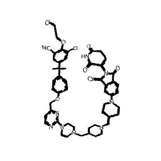 CC(C)(c1ccc(OCc2ccnc(N3CCN(CC4CCN(CC5CCN(c6ccc7c(c6)C(=O)N(C6CCC(=O)NC6=O)C7=O)CC5)CC4)CC3)n2)cc1)c1cc(Cl)c(OCCCl)c(C#N)c1